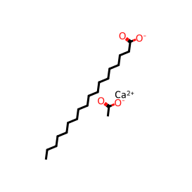 CC(=O)[O-].CCCCCCCCCCCCCCCCCC(=O)[O-].[Ca+2]